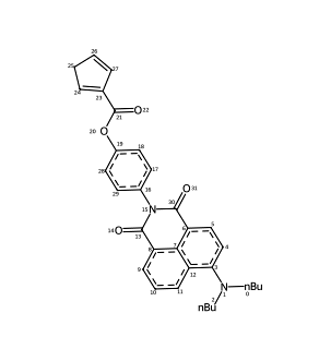 CCCCN(CCCC)c1ccc2c3c(cccc13)C(=O)N(c1ccc(OC(=O)C3=CCC=C3)cc1)C2=O